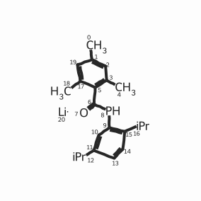 Cc1cc(C)c(C(=O)Pc2cc(C(C)C)ccc2C(C)C)c(C)c1.[Li]